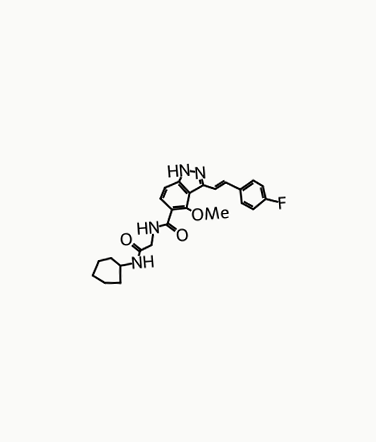 COc1c(C(=O)NCC(=O)NC2CCCCC2)ccc2[nH]nc(C=Cc3ccc(F)cc3)c12